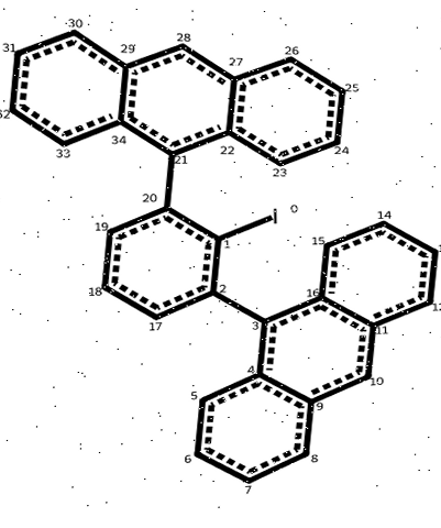 Ic1c(-c2c3ccccc3cc3ccccc23)cccc1-c1c2ccccc2cc2ccccc12